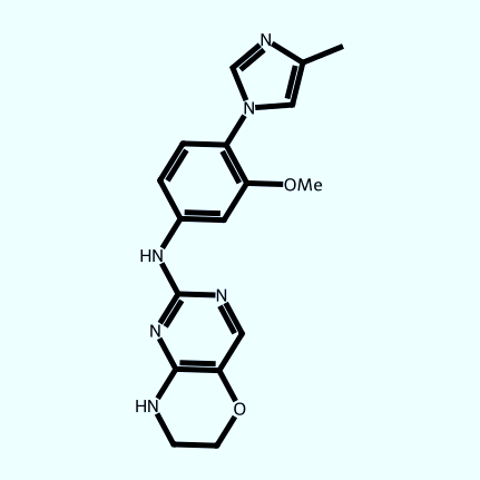 COc1cc(Nc2ncc3c(n2)NCCO3)ccc1-n1cnc(C)c1